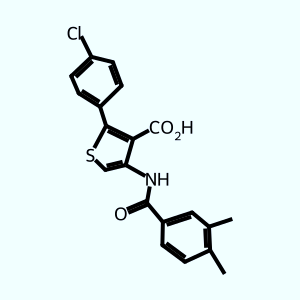 Cc1ccc(C(=O)Nc2csc(-c3ccc(Cl)cc3)c2C(=O)O)cc1C